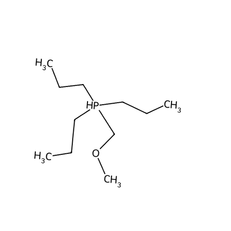 CCC[PH](CCC)(CCC)COC